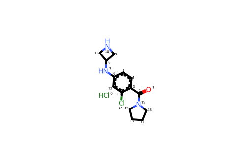 Cl.O=C(c1ccc(NC2CNC2)cc1Cl)N1CCCC1